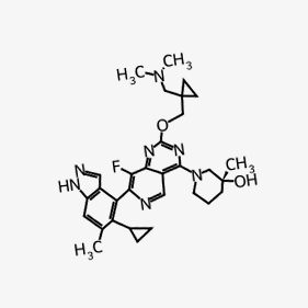 Cc1cc2[nH]ncc2c(-c2ncc3c(N4CCC[C@@](C)(O)C4)nc(OCC4(CN(C)C)CC4)nc3c2F)c1C1CC1